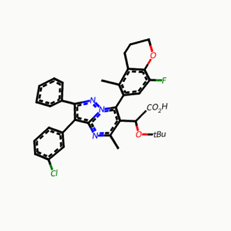 Cc1nc2c(-c3cccc(Cl)c3)c(-c3ccccc3)nn2c(-c2cc(F)c3c(c2C)CCCO3)c1C(OC(C)(C)C)C(=O)O